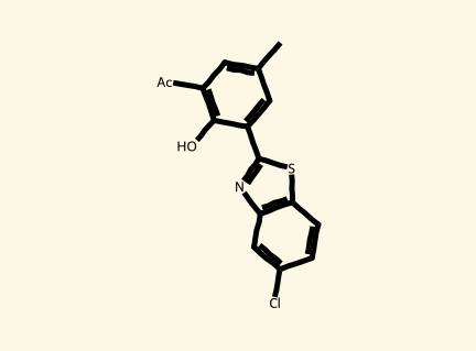 CC(=O)c1cc(C)cc(-c2nc3cc(Cl)ccc3s2)c1O